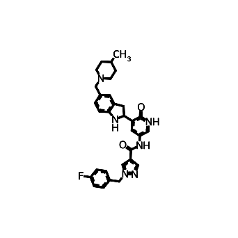 CC1CCN(Cc2ccc3c(c2)CC(c2cc(NC(=O)c4cnn(Cc5ccc(F)cc5)c4)c[nH]c2=O)N3)CC1